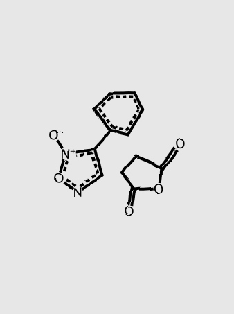 O=C1CCC(=O)O1.[O-][n+]1oncc1-c1ccccc1